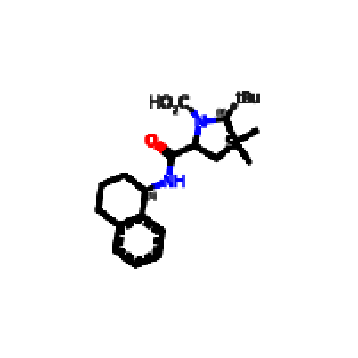 CC(C)(C)[C@@H]1N(C(=O)O)C(C(=O)N[C@@H]2CCCc3ccccc32)C[Si]1(C)C